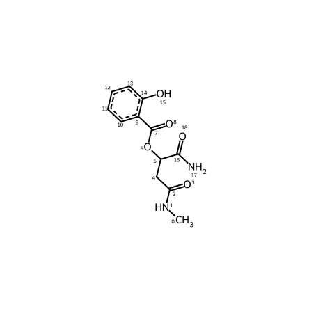 CNC(=O)CC(OC(=O)c1ccccc1O)C(N)=O